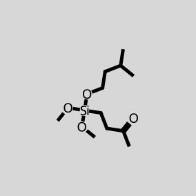 CO[Si](CCC(C)=O)(OC)OCCC(C)C